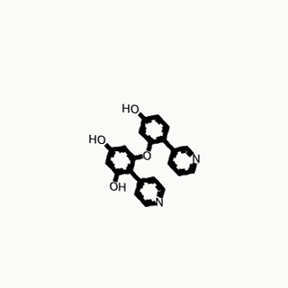 Oc1ccc(-c2cccnc2)c(Oc2cc(O)cc(O)c2-c2ccncc2)c1